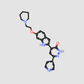 O=c1[nH]nc(-c2ccncc2)cc1-c1cc2ccc(OCCN3CCCCC3)cc2[nH]1